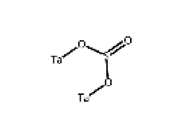 O=S([O][Ta])[O][Ta]